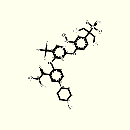 CCC(CC)(c1ccc(Nc2ncc(C(F)(F)F)c(Nc3ccc([C@H]4CC[C@H](O)CC4)cc3C(=O)N(C)C)n2)c(OC)c1)P(=O)(O)O